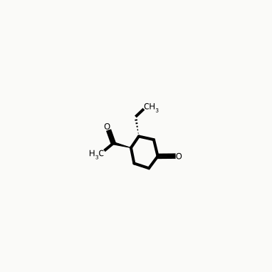 CC[C@@H]1CC(=O)CC[C@H]1C(C)=O